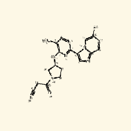 Cc1cnc(-c2cnc3ccc(F)cn23)nc1NC1CCN(C(=O)CC#N)C1